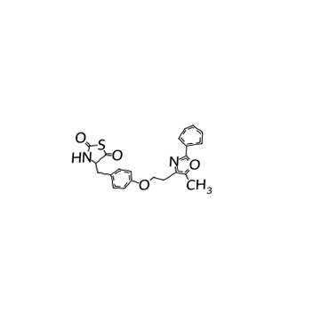 Cc1oc(-c2ccccc2)nc1CCOc1ccc(CC2NC(=O)SC2=O)cc1